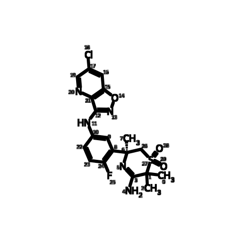 CC1(C)C(N)=N[C@@](C)(c2cc(Nc3noc4cc(Cl)cnc34)ccc2F)CS1(=O)=O